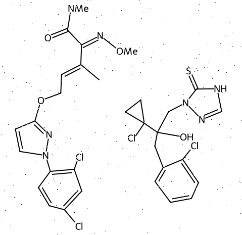 CNC(=O)C(=N/OC)/C(C)=C/COc1ccn(-c2ccc(Cl)cc2Cl)n1.OC(Cc1ccccc1Cl)(Cn1nc[nH]c1=S)C1(Cl)CC1